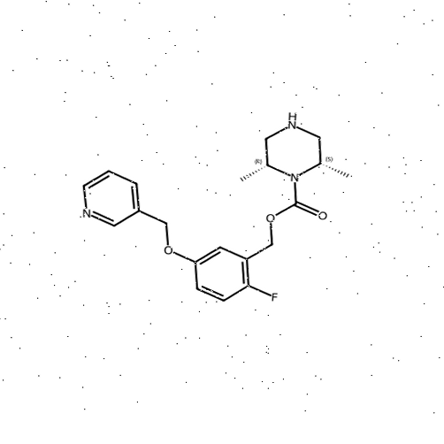 C[C@@H]1CNC[C@H](C)N1C(=O)OCc1cc(OCc2cccnc2)ccc1F